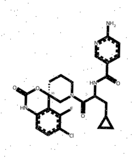 Nc1ccc(C(=O)NC(CC2CC2)C(=O)N2CCC[C@@]3(C2)OC(=O)Nc2ccc(Cl)c(F)c23)cn1